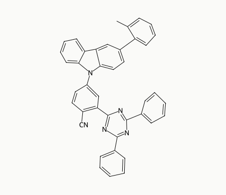 Cc1ccccc1-c1ccc2c(c1)c1ccccc1n2-c1ccc(C#N)c(-c2nc(-c3ccccc3)nc(-c3ccccc3)n2)c1